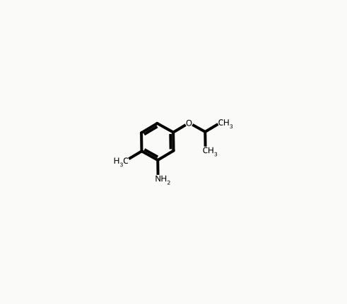 Cc1ccc(OC(C)C)cc1N